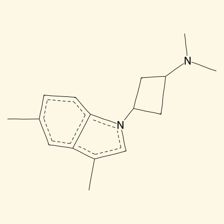 Cc1ccc2c(c1)c(C)cn2C1CC(N(C)C)C1